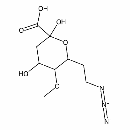 COC1C(O)CC(O)(C(=O)O)OC1CCN=[N+]=[N-]